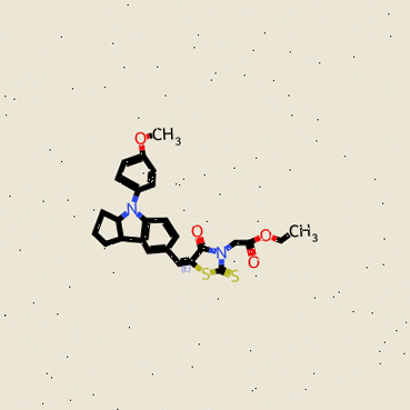 CCOC(=O)CN1C(=O)/C(=C\c2ccc3c(c2)C2CCCC2N3c2ccc(OC)cc2)SC1=S